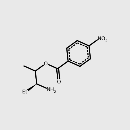 CC[C@H](N)C(C)OC(=O)c1ccc([N+](=O)[O-])cc1